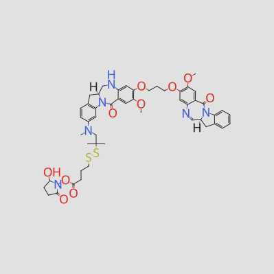 COc1cc2c(cc1OCCCOc1cc3c(cc1OC)C(=O)N1c4cc(N(C)CC(C)(C)SSCCCC(=O)ON5C(=O)CCC5O)ccc4C[C@H]1CN3)N=C[C@@H]1Cc3ccccc3N1C2=O